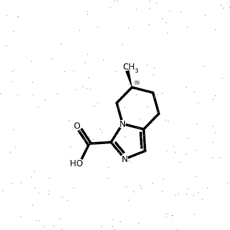 C[C@H]1CCc2cnc(C(=O)O)n2C1